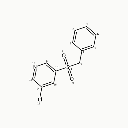 O=S(=O)(Cc1ccccc1)c1cncc(Cl)c1